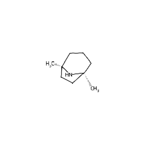 C[C@]12CCC[C@](C)(CC1)N2